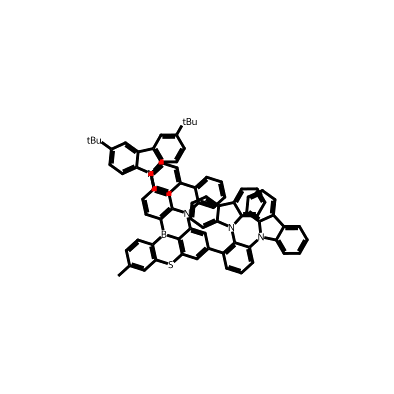 Cc1ccc2c(c1)Sc1cc(-c3cccc(-n4c5ccccc5c5ccccc54)c3-n3c4ccccc4c4ccccc43)cc3c1B2c1ccc(-n2c4ccc(C(C)(C)C)cc4c4cc(C(C)(C)C)ccc42)cc1N3c1ccccc1-c1ccccc1